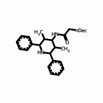 CCCCCCCCCCCC(=O)NC1C(C)C(c2ccccc2)NC(c2ccccc2)C1C